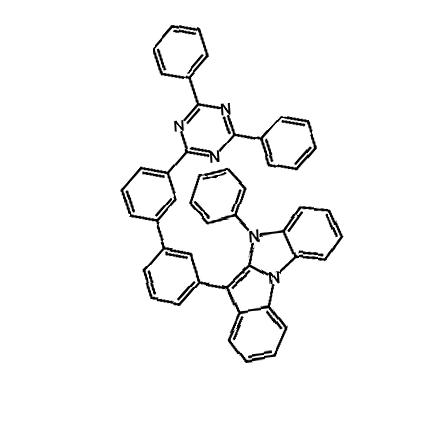 c1ccc(-c2nc(-c3ccccc3)nc(-c3cccc(-c4cccc(-c5c6ccccc6n6c7ccccc7n(-c7ccccc7)c56)c4)c3)n2)cc1